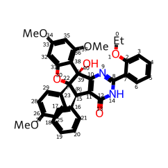 CCOc1ccccc1-c1nc2c(c(=O)[nH]1)[C@@H](c1ccccc1)[C@]1(c3ccc(OC)cc3)Oc3cc(OC)cc(OC)c3[C@]21O